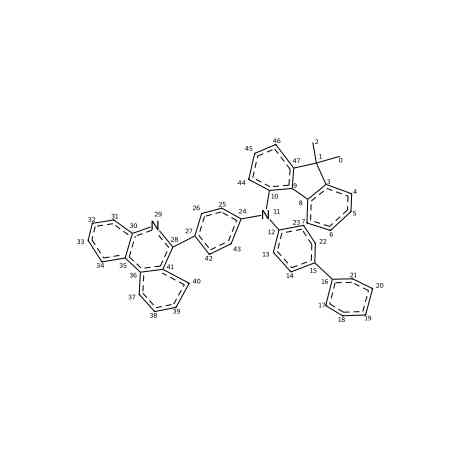 CC1(C)c2ccccc2-c2c(N(c3ccc(-c4ccccc4)cc3)c3ccc(-c4nc5ccccc5c5ccccc45)cc3)cccc21